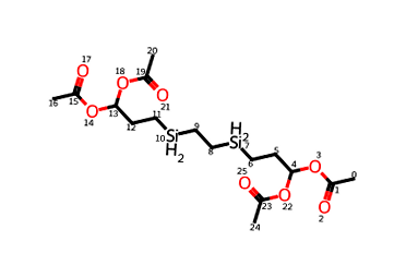 CC(=O)OC(CC[SiH2]CC[SiH2]CCC(OC(C)=O)OC(C)=O)OC(C)=O